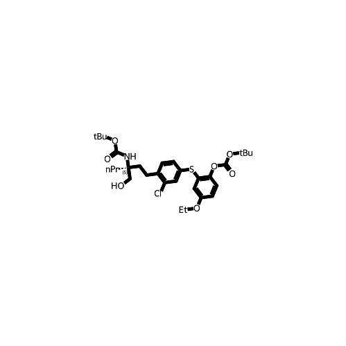 CCC[C@@](CO)(CCc1ccc(Sc2cc(OCC)ccc2OC(=O)OC(C)(C)C)cc1Cl)NC(=O)OC(C)(C)C